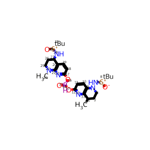 CC1CCN(N[S+]([O-])C(C)(C)C)c2ccc(O[PH](=O)Oc3ccc4c(n3)N(C)CCC4N[S+]([O-])C(C)(C)C)nc21